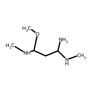 CNC(N)CC(NC)OC